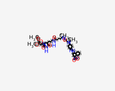 CCN(CCON=C(C)CCCC(=O)NCC=Cc1cn([C@H]2CC(OC)[C@@H](COC)O2)c(=O)[nH]c1=O)c1ccc(N=Nc2ccc([N+](=O)[O-])c3ccccc23)cc1